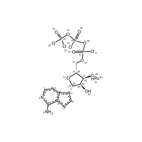 Nc1ncnc2c1ncn2[C@@H]1O[C@H](COP(=O)([O-])OP(=O)([O-])OP(=O)([O-])[O-])[C@@H](O)[C@H]1O.[Ru+4]